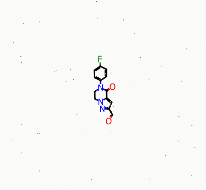 O=Cc1cc2n(n1)CCN(c1ccc(F)cc1)C2=O